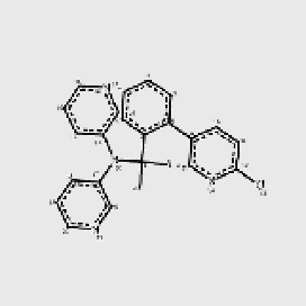 CC(I)(c1ccccc1-c1ccc(Cl)nc1)N(c1cccnc1)c1cccnc1